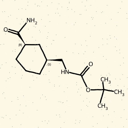 CC(C)(C)OC(=O)NC[C@H]1CCC[C@@H](C(N)=O)C1